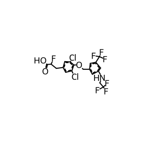 O=C(O)C(F)Cc1cc(Cl)c(OCc2cc(NCC(F)(F)F)cc(C(F)(F)F)c2)c(Cl)c1